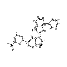 CN(C)c1cncc(-c2ccc3[nH]nc(-c4cc5c(-c6cccnc6)cncc5[nH]4)c3n2)c1